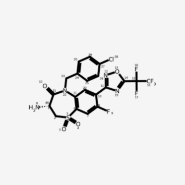 N[C@H]1CS(=O)(=O)c2cc(F)c(-c3noc(C(F)(F)C(F)(F)F)n3)cc2N(Cc2ccc(Cl)cc2)C1=O